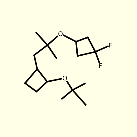 CC(C)(C)OC1CCC1CC(C)(C)OC1CC(F)(F)C1